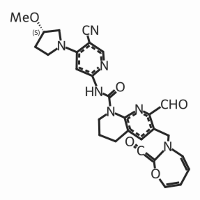 CO[C@H]1CCN(c2cc(NC(=O)N3CCCc4cc(CN5C=CC=COC5=C=O)c(C=O)nc43)ncc2C#N)C1